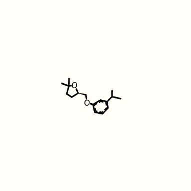 CC(C)c1cccc(OC[C@H]2CCC(C)(C)O2)c1